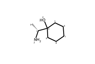 C[C@@H](N)C1(O)CCCCC1